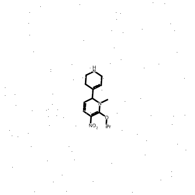 CC(C)OC1=C([N+](=O)[O-])C=CC(C2=CCNCC2)N1C